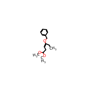 CC/C(=C\CC(OC)OC)OCc1ccccc1